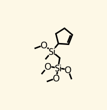 CO[Si](C[Si](C)(OC)C1C=CCC1)(OC)OC